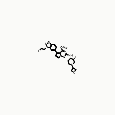 COc1nc(N[C@H]2CCN(C3COC3)C[C@@H]2F)nn2ccc(-c3ccc4nnn(CCF)c4c3)c12